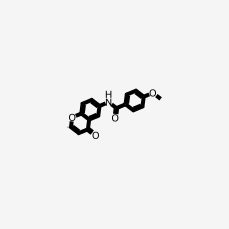 COc1ccc(C(=O)Nc2ccc3o[c]cc(=O)c3c2)cc1